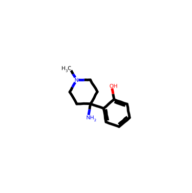 CN1CCC(N)(c2ccccc2O)CC1